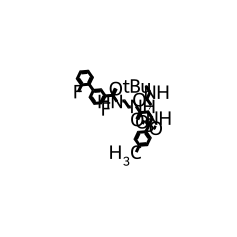 Cc1ccc(S(=O)(=O)N[C@@H](CC(=O)NC(C)(C)C)C(=O)NCCNC(=O)c2cc(-c3ccccc3F)ccc2F)cc1